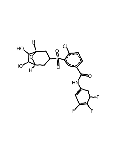 O=C(NC1=CC(F)=C(F)C(F)C1)c1ccc(Cl)c(S(=O)(=O)C2C[C@@H]3O[C@H](C2)[C@@H](O)C3O)c1